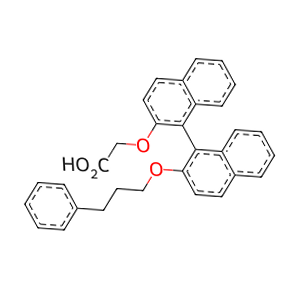 O=C(O)COc1ccc2ccccc2c1-c1c(OCCCc2ccccc2)ccc2ccccc12